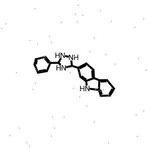 c1ccc(C2NNC(c3ccc4c(c3)[nH]c3ccccc34)N2)cc1